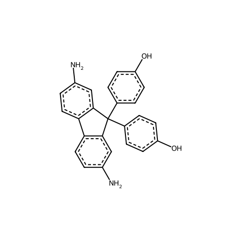 Nc1ccc2c(c1)C(c1ccc(O)cc1)(c1ccc(O)cc1)c1cc(N)ccc1-2